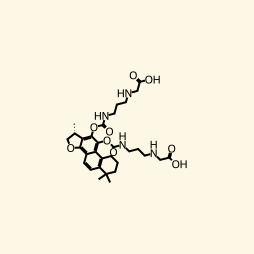 C[C@H]1COc2c1c(OC(=O)NCCCNCC(=O)O)c(OC(=O)NCCCNCC(=O)O)c1c3c(ccc21)C(C)(C)CCC3